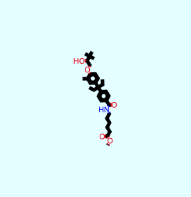 CCC(CC)(c1ccc(C(=O)NCCCCCC(=O)OC)cc1)c1ccc(OCC(O)C(C)(C)C)c(C)c1